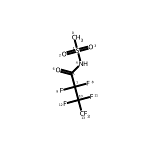 CS(=O)(=O)NC(=O)C(F)(F)C(F)(F)C(F)(F)F